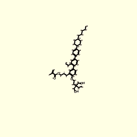 C=C(C)C(=O)OCCCc1cc(-c2ccc(-c3ccc(C4CCC(CCCCC)CC4)cc3)cc2CC)ccc1OCCC(CC)(CO)CO